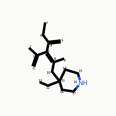 C=C(C)/C(C(=C)CC)=C(/C)CC1(CC)CCNCC1